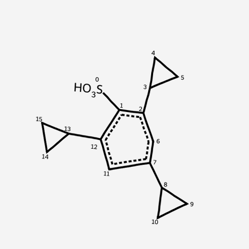 O=S(=O)(O)c1c(C2CC2)cc(C2CC2)cc1C1CC1